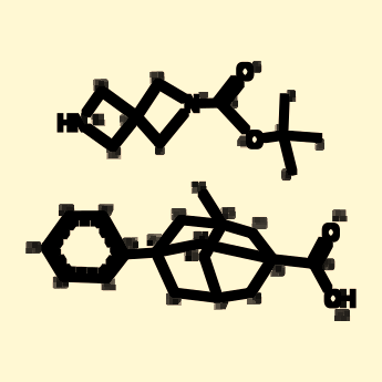 CC(C)(C)OC(=O)N1CC2(CNC2)C1.CC12CC3CC(C(=O)O)(C1)CC(c1ccccc1)(C3)C2